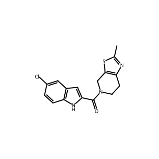 Cc1nc2c(s1)CN(C(=O)c1cc3cc(Cl)ccc3[nH]1)CC2